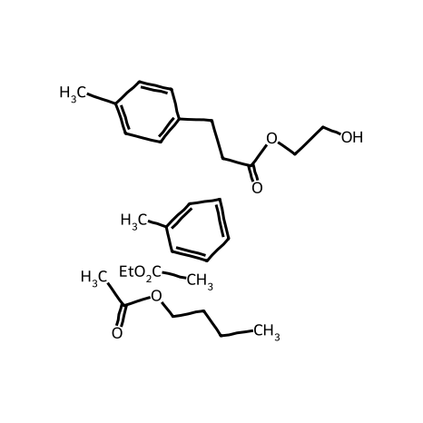 CCCCOC(C)=O.CCOC(C)=O.Cc1ccc(CCC(=O)OCCO)cc1.Cc1ccccc1